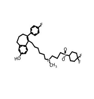 CN(CCCCCCC1=C(c2ccc(F)cc2)CCCc2cc(O)ccc21)CCCS(=O)(=O)C1CCC(F)(F)CC1